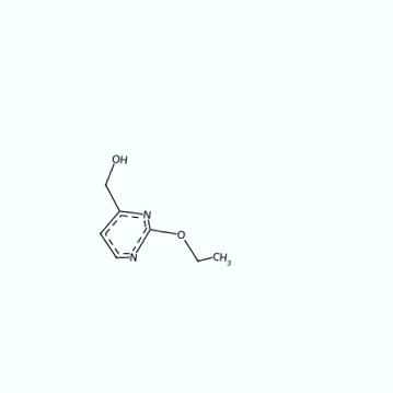 CCOc1nccc(CO)n1